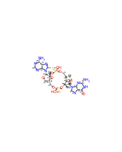 Nc1nc2c(ncn2[C@@H]2S[C@@H]3COP(O)(=S)O[C@@H]4[C@@]5(CO[C@@]4(n4cnc6c(N)ncnc64)CO5)COP(O)(=S)O[C@@H]2[C@@H]3O)c(=O)[nH]1